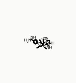 CCCCC(C(CC)Oc1ccc(C(=N)N)cc1)(C(C(=O)O)N1CCNCC1=O)N1CCNCC1=O